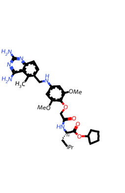 COc1cc(NCc2ccc3nc(N)nc(N)c3c2C)cc(OC)c1OCC(=O)N[C@@H](CC(C)C)C(=O)OC1CCCC1